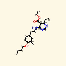 CCCCOc1ccc(CCNc2ncnc(CC)c2C(=O)OCC)cc1C